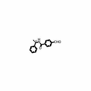 C[C@@H](NC(=O)c1ccc(C=O)cc1)c1ccccc1